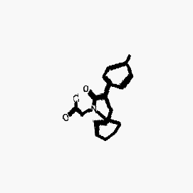 Cc1ccc(C2CC3(CCCCC3)N(CC(=O)Cl)C2=O)cc1